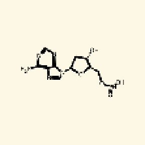 Nc1ncnc2c1ncn2[C@H]1C[C@H](O)[C@@H](CO[PH](=O)O)O1